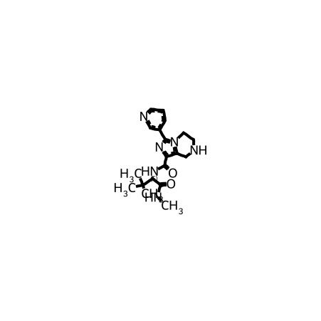 CNC(=O)[C@@H](NC(=O)c1nc(-c2cccnc2)n2c1CNCC2)C(C)(C)C